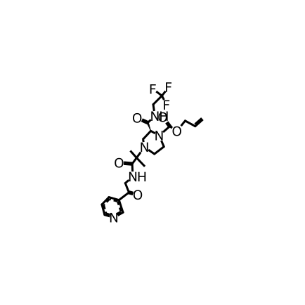 C=CCOC(=O)N1CCN(C(C)(C)C(=O)NCC(=O)c2cccnc2)C[C@H]1C(=O)NCC(F)(F)F